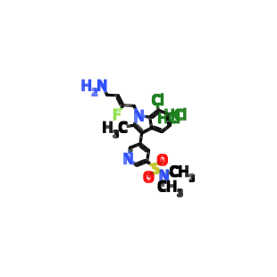 Cc1c(-c2cncc(S(=O)(=O)N(C)C)c2)c2cccc(Cl)c2n1C/C(F)=C/CN.Cl.Cl